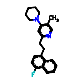 Cc1cnc(CCc2ccc(F)c3ccccc23)cc1N1CCCCC1